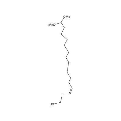 COC(CCCCCCCCCC/C=C\CCO)OC